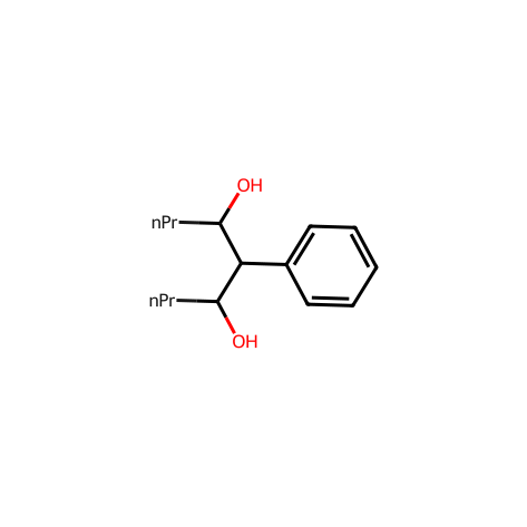 CCCC(O)C(c1ccccc1)C(O)CCC